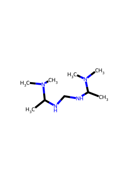 CC(NCNC(C)N(C)C)N(C)C